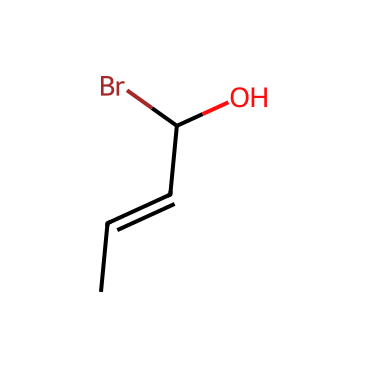 CC=CC(O)Br